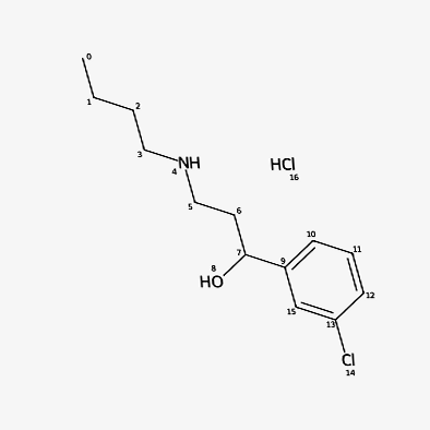 CCCCNCCC(O)c1cccc(Cl)c1.Cl